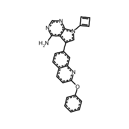 Nc1ncnc2c1c(-c1ccc3ccc(Oc4ccccc4)nc3c1)cn2C1=CC=C1